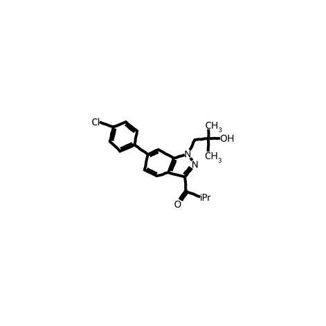 CC(C)C(=O)c1nn(CC(C)(C)O)c2cc(-c3ccc(Cl)cc3)ccc12